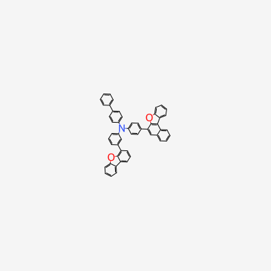 c1ccc(-c2ccc(N(c3ccc(-c4cc5ccccc5c5c4oc4ccccc45)cc3)c3cccc(-c4cccc5c4oc4ccccc45)c3)cc2)cc1